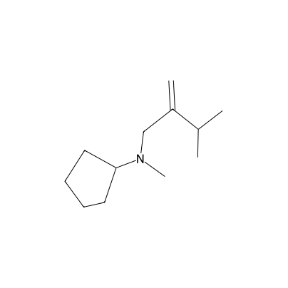 C=C(CN(C)C1CCCC1)C(C)C